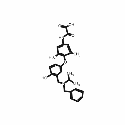 Cc1cc(NC(=O)C(=O)O)cc(C)c1Oc1ccc(O)c(CN(Cc2ccccc2)C(C)C)c1